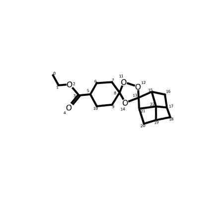 CCOC(=O)C1CCC2(CC1)OOC1(O2)C2CC3CC4CC1C342